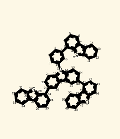 c1cc(-c2cccc3c2sc2ccccc23)cc(-n2c3ccc(-c4cccc5c4sc4ccccc45)cc3c3cc(-c4cccc5oc6ccccc6c45)ccc32)c1